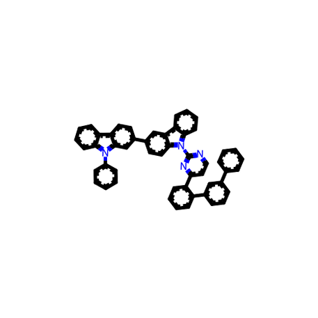 c1ccc(-c2cccc(-c3ccccc3-c3ccnc(-n4c5ccccc5c5cc(-c6ccc7c8ccccc8n(-c8ccccc8)c7c6)ccc54)n3)c2)cc1